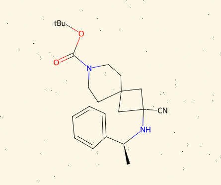 C[C@H](NC1(C#N)CC2(CCN(C(=O)OC(C)(C)C)CC2)C1)c1ccccc1